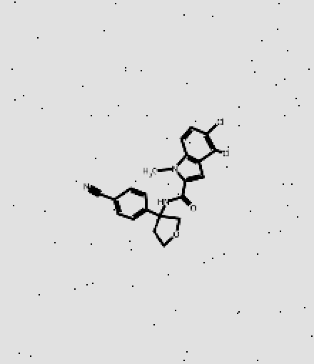 Cn1c(C(=O)NC2(c3ccc(C#N)cc3)CCOC2)cc2c(Cl)c(Cl)ccc21